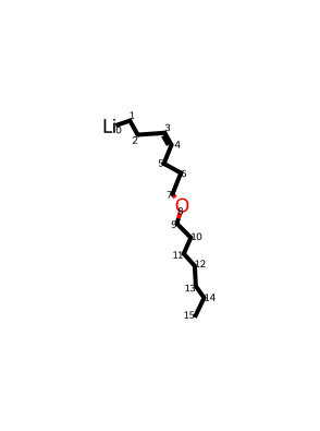 [Li][CH2]C/C=C\CCCOCCCCCCC